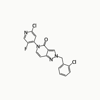 O=c1c2cn(Cc3ccccc3Cl)nc2ccn1-c1cc(Cl)ncc1F